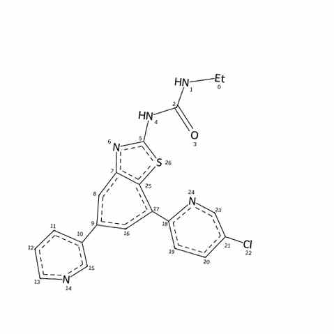 CCNC(=O)Nc1nc2cc(-c3cccnc3)cc(-c3ccc(Cl)cn3)c2s1